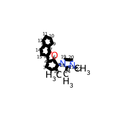 Cc1ccc2c(oc3c4ccccc4ccc23)c1N1C=CN(C)C1C